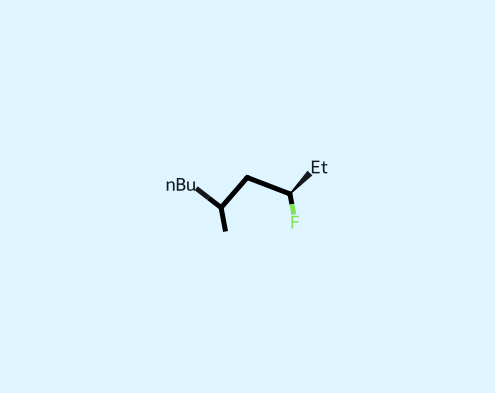 CCCCC(C)C[C@H](F)CC